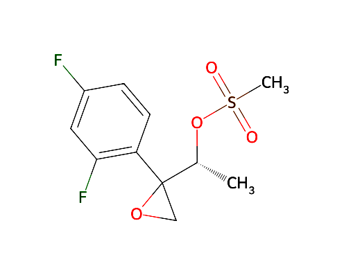 C[C@@H](OS(C)(=O)=O)C1(c2ccc(F)cc2F)CO1